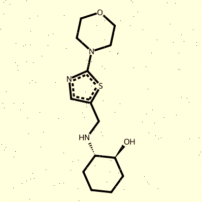 O[C@H]1CCCC[C@@H]1NCc1cnc(N2CCOCC2)s1